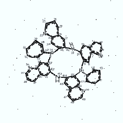 c1ccc(P2c3cc4ncccc4cc3Nc3cc4cccnc4cc3P(c3ccccc3)c3cc4ncccc4cc3Nc3cc4cccnc4cc32)cc1